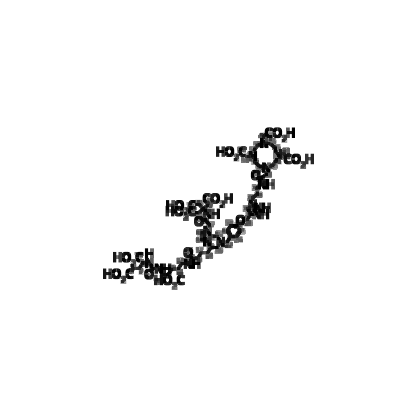 O=C(O)CC[C@H](NC(=O)N[C@@H](CCCCNC(=O)CCCCCN(Cc1ccc(OCC2=CN(CCCNC(=O)CN3CCN(CC(=O)O)CCN(CC(=O)O)CCN(CC(=O)O)CC3)NN2)cc1)Cc1nccn1CC(=O)NC(CC(=O)O)(CC(=O)O)CC(=O)O)C(=O)O)C(=O)O